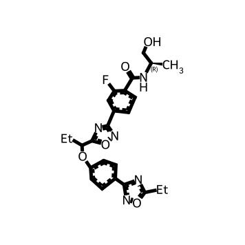 CCc1nc(-c2ccc(OC(CC)c3nc(-c4ccc(C(=O)N[C@H](C)CO)c(F)c4)no3)cc2)no1